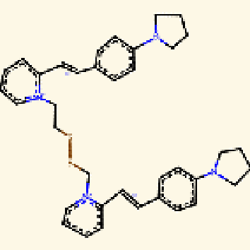 C(=C\c1cccc[n+]1CCSSC[n+]1ccccc1/C=C/c1ccc(N2CCCC2)cc1)/c1ccc(N2CCCC2)cc1